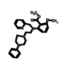 COC(=O)c1c(OC)cccc1N(CCN1CCN(c2ccccc2)CC1)Cc1ccccn1